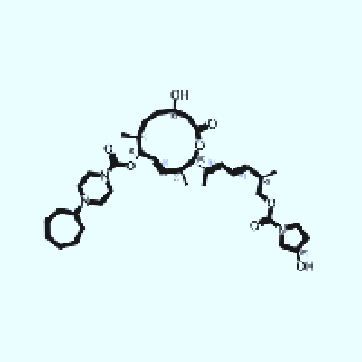 C/C(=C\C=C\[C@@H](C)COC(=O)N1CC[C@@H](O)C1)[C@H]1OC(=O)C[C@H](O)CC[C@H](C)[C@@H](OC(=O)N2CCN(C3CCCCCC3)CC2)/C=C/[C@@H]1C